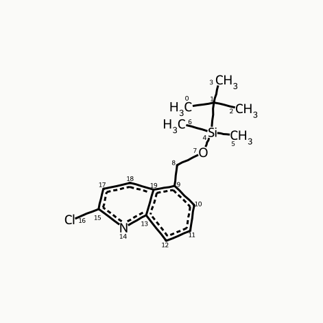 CC(C)(C)[Si](C)(C)OCc1cccc2nc(Cl)ccc12